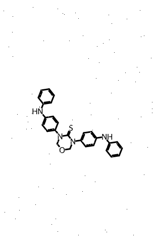 S=C1N(c2ccc(Nc3ccccc3)cc2)COCN1c1ccc(Nc2ccccc2)cc1